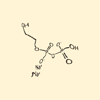 O=P([O-])(O)OP(=O)([O-])OCCO.[Na+].[Na+]